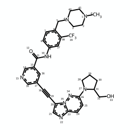 CN1CCN(Cc2ccc(NC(=O)c3cncc(C#Cc4cnc5ccc(N6CCCC6CO)nn45)c3)cc2C(F)(F)F)CC1